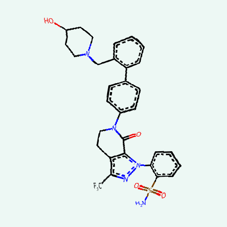 NS(=O)(=O)c1ccccc1-n1nc(C(F)(F)F)c2c1C(=O)N(c1ccc(-c3ccccc3CN3CCC(O)CC3)cc1)CC2